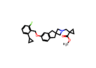 COC(=O)C1(CN2CC3(Cc4ccc(OCc5c(F)cccc5C5CC5)cc4C3)C2)CC1